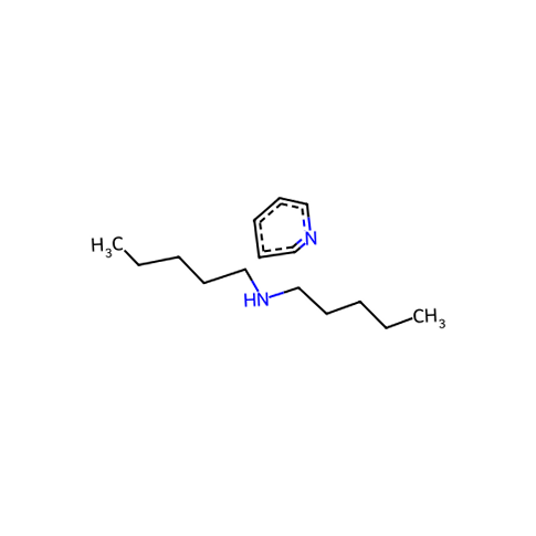 CCCCCNCCCCC.c1ccncc1